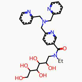 CCN(CC(O)C(O)C(O)C(O)CO)C(=O)c1ccc(CN(Cc2ccccn2)Cc2ccccn2)nc1